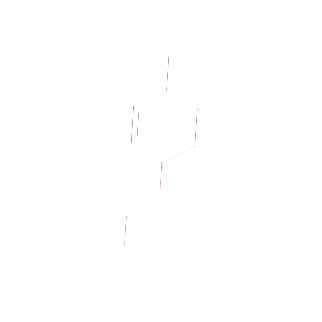 COCOc1ccc(C)c(C)c1